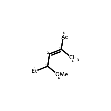 CCC(C=C(C)C(C)=O)OC